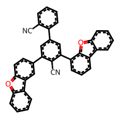 N#Cc1ccccc1-c1cc(-c2ccc3oc4ccccc4c3c2)c(C#N)c(-c2cccc3c2oc2ccccc23)c1